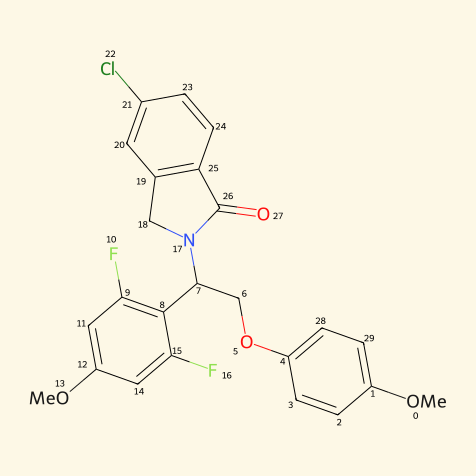 COc1ccc(OCC(c2c(F)cc(OC)cc2F)N2Cc3cc(Cl)ccc3C2=O)cc1